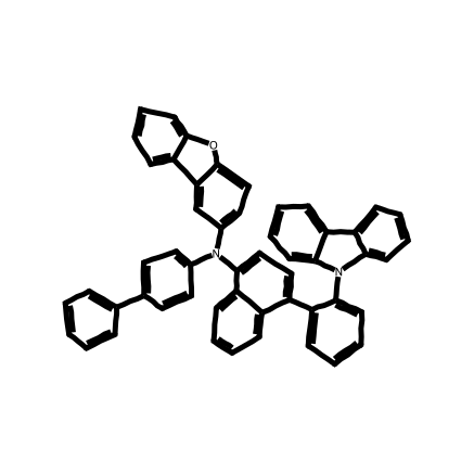 c1ccc(-c2ccc(N(c3ccc4oc5ccccc5c4c3)c3ccc(-c4ccccc4-n4c5ccccc5c5ccccc54)c4ccccc34)cc2)cc1